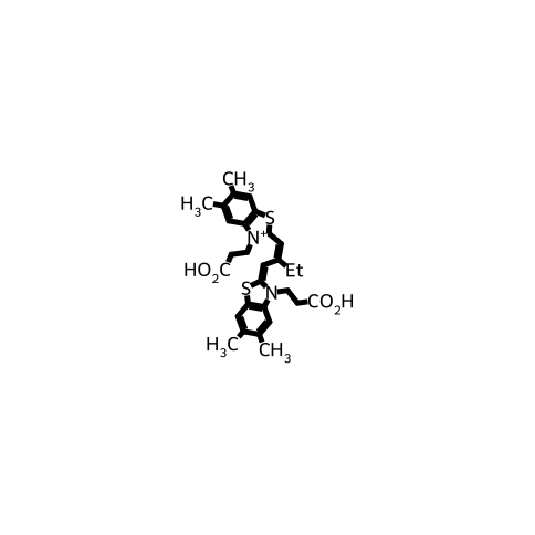 CCC(=Cc1sc2cc(C)c(C)cc2[n+]1CCC(=O)O)C=C1Sc2cc(C)c(C)cc2N1CCC(=O)O